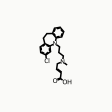 CN(C/C=C/C(=O)O)CCCN1c2ccccc2CCc2ccc(Cl)cc21